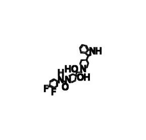 O=C(Nc1ccc(F)c(F)c1)N1CCC(O)(C(O)CN2CCC(c3c[nH]c4ccccc34)CC2)CC1